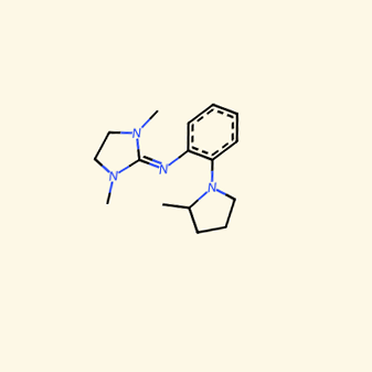 CC1CCCN1c1ccccc1N=C1N(C)CCN1C